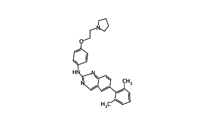 Cc1cccc(C)c1-c1ccc2nc(Nc3ccc(OCCN4CCCC4)cc3)ncc2c1